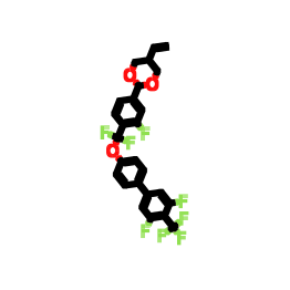 C=CC1COC(c2ccc(C(F)(F)Oc3ccc(-c4cc(F)c(C(F)(F)F)c(F)c4)cc3)c(F)c2)OC1